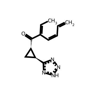 C=C/C=C\C(=C/C)C(=O)[C@H]1C[C@@H]1c1nn[nH]n1